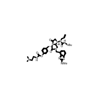 C=CCN(C(=O)NCCCC)N1CC(=O)N2[C@@H](Cc3ccc(OC(=O)NCCN(C)C)cc3)C(=O)N(Cc3cccc4sc(NC)nc34)C[C@@H]21